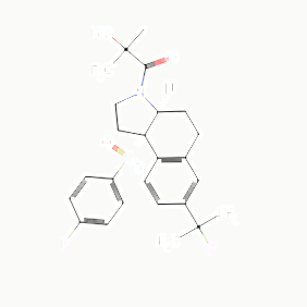 CC(O)(C(=O)N1CC[C@]2(S(=O)(=O)c3ccc(F)cc3)c3ccc(C(F)(C(F)(F)F)C(F)(F)F)cc3CC[C@H]12)C(F)(F)F